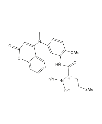 CCCN(CCC)[C@@H](CCSC)C(=O)Nc1cc(N(C)c2cc(=O)oc3ccccc23)ccc1OC